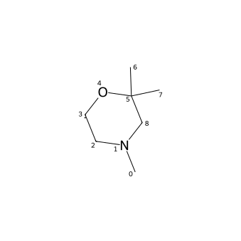 CN1C[CH]OC(C)(C)C1